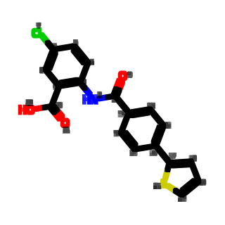 O=C(Nc1ccc(Cl)cc1C(=O)O)c1ccc(-c2cccs2)cc1